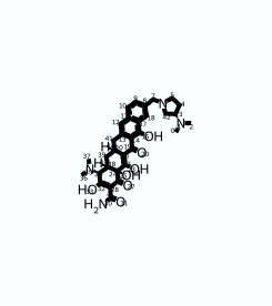 CN(C)[C@H]1CCN(Cc2ccc3cc4c(c(O)c3c2)C(=O)C2=C(O)[C@]3(O)C(=O)C(C(N)=O)=C(O)[C@@H](N(C)C)[C@@H]3C[C@@H]2C4)C1